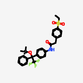 CCS(=O)(=O)c1ccc(CC(=O)Nc2ccc(C(O[Si](C)(C)C)(c3ccccc3)C(F)(F)F)cc2)cc1